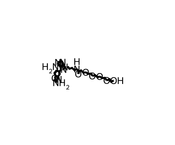 Nc1nc2cc(-c3nn(CCCCNC(=O)CCOCCOCCOCCOCCO)c4ncnc(N)c34)ccc2o1